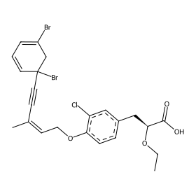 CCO[C@@H](Cc1ccc(OCC=C(C)C#CC2(Br)C=CC=C(Br)C2)c(Cl)c1)C(=O)O